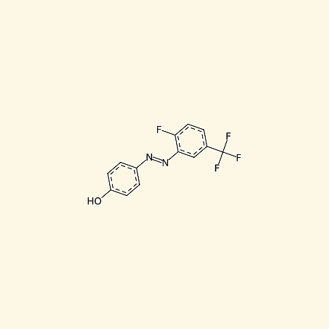 Oc1ccc(N=Nc2cc(C(F)(F)F)ccc2F)cc1